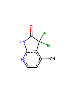 N#Cc1ccnc2c1C(Br)(Br)C(=O)N2